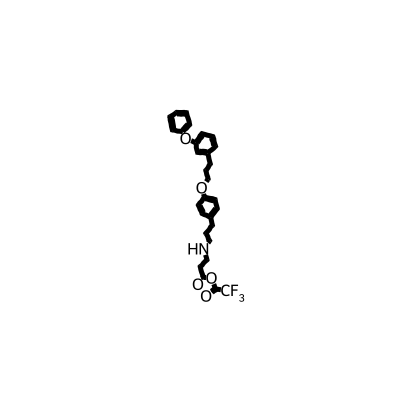 O=C(CCNCCCc1ccc(OCCCc2cccc(Oc3ccccc3)c2)cc1)OC(=O)C(F)(F)F